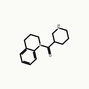 O=C(C1CCCNC1)N1CCCc2ccccc21